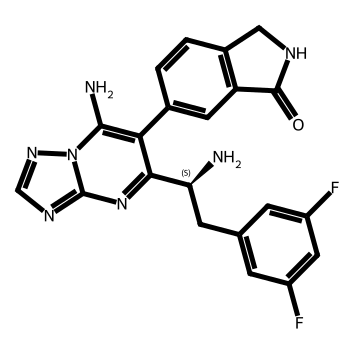 Nc1c(-c2ccc3c(c2)C(=O)NC3)c([C@@H](N)Cc2cc(F)cc(F)c2)nc2ncnn12